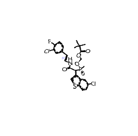 CC(C)(C)C(=O)OCOP(C)(=O)C(C(=O)N/C=C/c1ccc(F)c(Cl)c1)c1csc2ccc(Cl)cc12